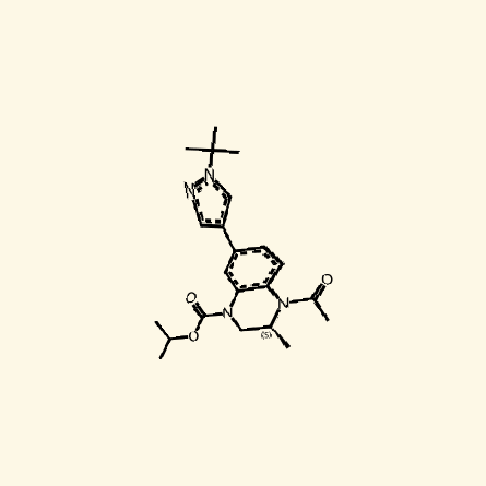 CC(=O)N1c2ccc(-c3cnn(C(C)(C)C)c3)cc2N(C(=O)OC(C)C)C[C@@H]1C